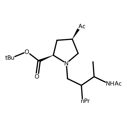 CCCC(CN1C[C@H](C(C)=O)C[C@@H]1C(=O)OC(C)(C)C)C(C)NC(C)=O